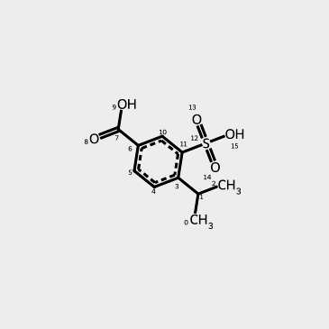 CC(C)c1ccc(C(=O)O)cc1S(=O)(=O)O